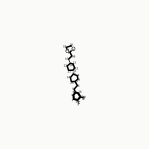 Fc1ccc(CCC2CCC([C@H]3CC[C@H](CCC4OCCO4)CC3)CC2)cc1F